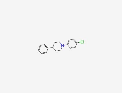 Clc1ccc(N2CCC(c3ccccc3)CC2)cc1